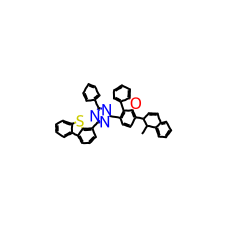 CC1c2ccccc2C=CC1c1ccc(-c2nc(-c3ccccc3)nc(-c3cccc4c3sc3ccccc34)n2)c2c1oc1ccccc12